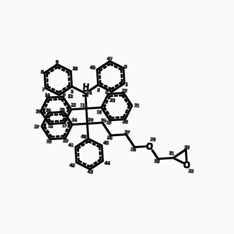 c1ccc([SiH](c2ccccc2)C(c2ccccc2)(c2ccccc2)C(CCCCOCC2CO2)(c2ccccc2)c2ccccc2)cc1